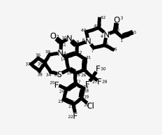 C=CC(=O)N1C(C)CN(c2nc(=O)n3c4c(c(-c5cc(Cl)c(F)cc5F)c(C(F)(F)F)cc24)SCC2(CCC2)C3)CC1C